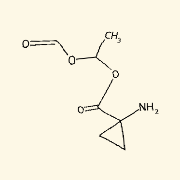 CC(OC=O)OC(=O)C1(N)CC1